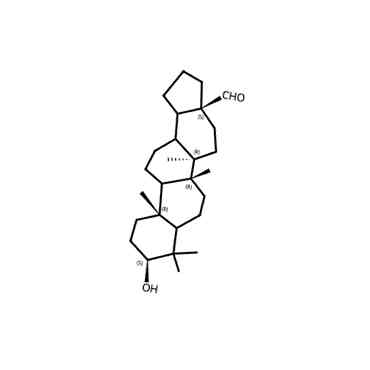 CC1(C)C2CC[C@]3(C)C(CCC4C5CCC[C@]5(C=O)CC[C@]43C)[C@@]2(C)CC[C@@H]1O